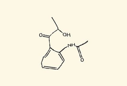 CC(=O)Nc1ccccc1C(=O)C(C)O